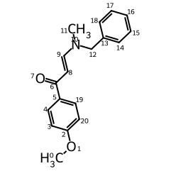 COc1ccc(C(=O)C=CN(C)Cc2ccccc2)cc1